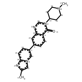 Cc1cn2cc(-c3ccc4c(=O)n(C5CCN(C)CC5)cnc4c3)ccc2n1